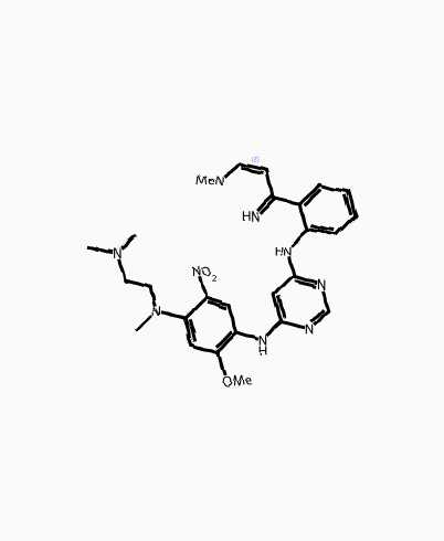 CN/C=C\C(=N)c1ccccc1Nc1cc(Nc2cc([N+](=O)[O-])c(N(C)CCN(C)C)cc2OC)ncn1